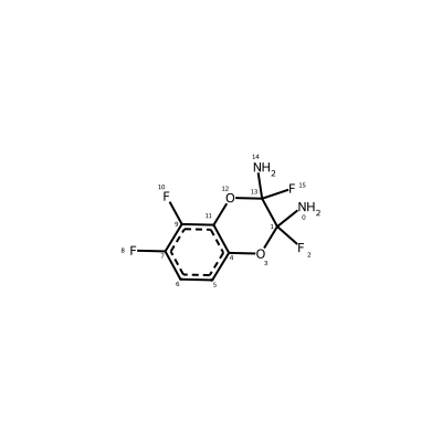 NC1(F)Oc2ccc(F)c(F)c2OC1(N)F